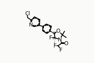 CC1(C)O[C@H](c2ccc(-c3ccc(CCl)nc3)cc2)[C@](C)(F)N1C(=O)C(F)F